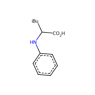 CCC(C)C(Nc1ccccc1)C(=O)O